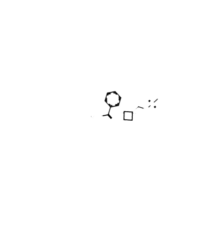 COC(=O)c1ccccc1[C@H]1CC[C@@H]1COS(C)(=O)=O